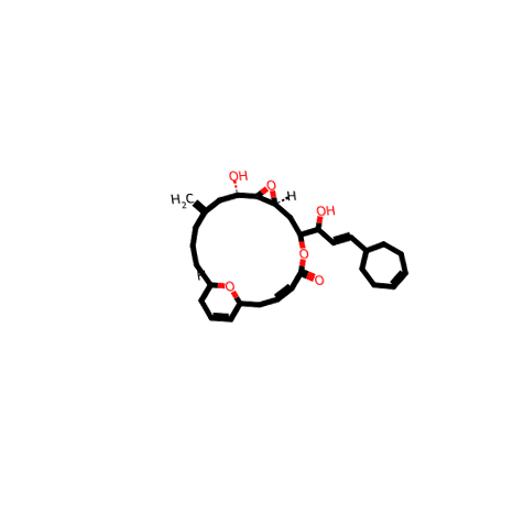 C=C1CCC[C@@H]2CC=CC(C/C=C\C(=O)OC(C(O)/C=C/C3CCC=CCC3)C[C@@H]3OC3[C@@H](O)C1)O2